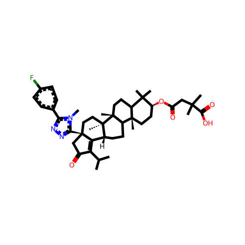 CC(C)C1=C2[C@H]3CCC4[C@@]5(C)CC[C@H](OC(=O)CC(C)(C)C(=O)O)C(C)(C)C5CC[C@@]4(C)[C@]3(C)CC[C@@]2(c2nnc(-c3ccc(F)cc3)n2C)CC1=O